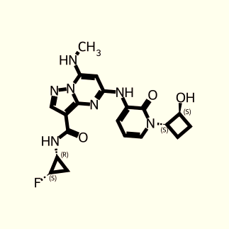 CNc1cc(Nc2cccn([C@H]3CC[C@@H]3O)c2=O)nc2c(C(=O)N[C@@H]3C[C@@H]3F)cnn12